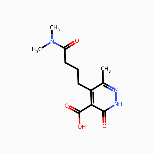 Cc1n[nH]c(=O)c(C(=O)O)c1CCCC(=O)N(C)C